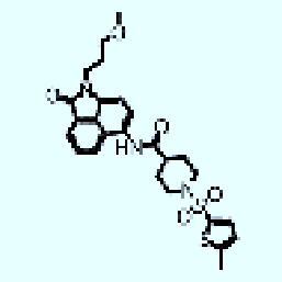 COCCCN1C(=O)c2cccc3c(NC(=O)C4CCN(S(=O)(=O)c5ccc(C)s5)CC4)ccc1c23